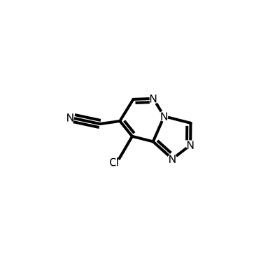 N#Cc1cnn2cnnc2c1Cl